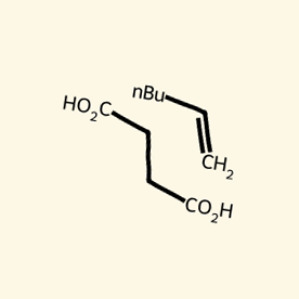 C=CCCCC.O=C(O)CCC(=O)O